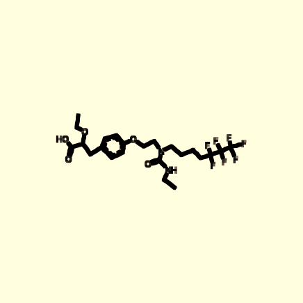 CCNC(=O)N(CCCCC(F)(F)C(F)(F)C(F)(F)F)CCOc1ccc(CC(OCC)C(=O)O)cc1